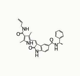 C=CCNC(=O)c1c(C)[nH]c(/C=C2\C(=O)Nc3ccc(C(=O)N[C@H](C)c4ccccc4)cc32)c1C